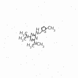 Cc1ccc(CNc2nc(N(C)C)nc(N(C)C)n2)s1